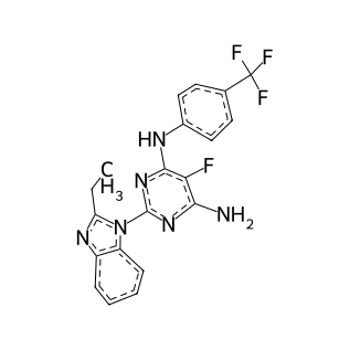 CCc1nc2ccccc2n1-c1nc(N)c(F)c(Nc2ccc(C(F)(F)F)cc2)n1